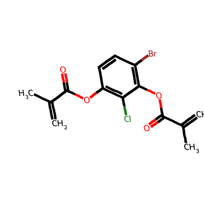 C=C(C)C(=O)Oc1ccc(Br)c(OC(=O)C(=C)C)c1Cl